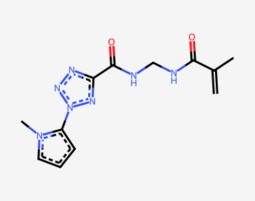 C=C(C)C(=O)NCNC(=O)c1nnn(-c2cccn2C)n1